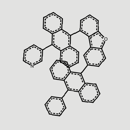 c1ccc(-c2c3ccccc3c(-c3ccc4oc5cccc(-c6c7ccccc7c(-c7cccnc7)c7ccccc67)c5c4c3)c3ccccc23)cc1